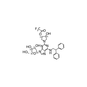 O=C(O[C@H]1CN(c2nc(NCC(c3ccccc3)c3ccccc3)c3ncn([C@@H]4O[C@H](CO)[C@@H](O)[C@@H]4O)c3n2)C[C@@H]1O)C(F)(F)F